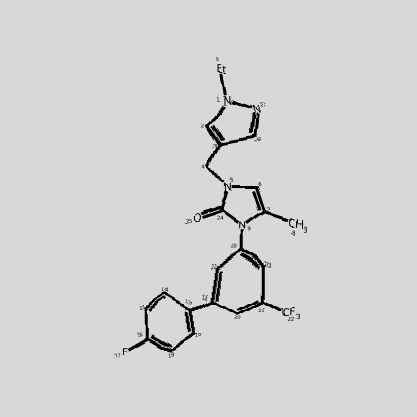 CCn1cc(Cn2cc(C)n(-c3cc(-c4ccc(F)cc4)cc(C(F)(F)F)c3)c2=O)cn1